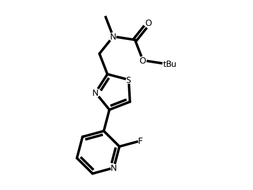 CN(Cc1nc(-c2cccnc2F)cs1)C(=O)OC(C)(C)C